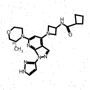 C[C@@H]1COCCN1c1cc(N2CC(NC(=O)C3CCC3)C2)c2cnn(-c3cc[nH]n3)c2n1